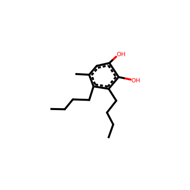 CCCCc1c(C)cc(O)c(O)c1CCCC